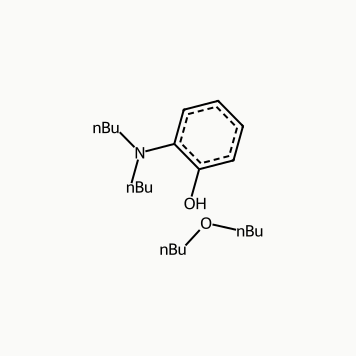 CCCCN(CCCC)c1ccccc1O.CCCCOCCCC